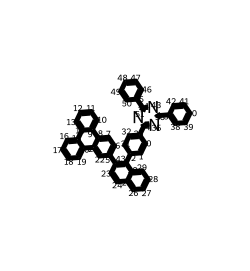 C1=CC(c2c(-c3ccc4c5ccccc5c5ccccc5c4c3)ccc3ccccc23)CC=C1c1nc(-c2ccccc2)nc(-c2ccccc2)n1